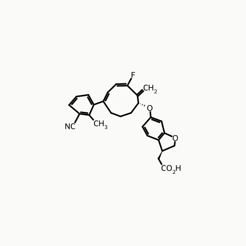 C=C1/C(F)=C\C=C(\c2cccc(C#N)c2C)CCC[C@H]1Oc1ccc2c(c1)OC[C@H]2CC(=O)O